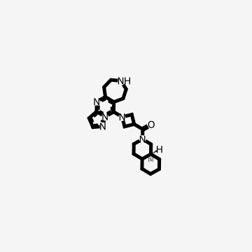 O=C(C1CN(c2c3c(nc4ccnn24)CCNCC3)C1)N1CCC2CCCC[C@@H]2C1